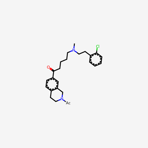 CC(=O)N1CCc2ccc(C(=O)CCCCN(C)CCc3ccccc3Cl)cc2C1